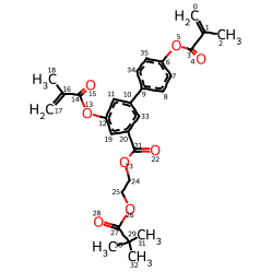 C=C(C)C(=O)Oc1ccc(-c2cc(OC(=O)C(=C)C)cc(C(=O)OCCOC(=O)C(C)(C)C)c2)cc1